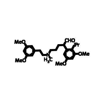 COc1cc(CCN(C)CCCC(C=O)c2cc(OC)cc(OC)c2C(C)C)cc(OC)c1